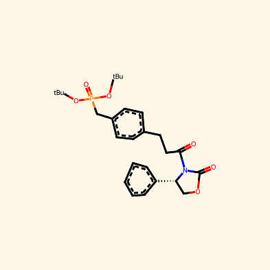 CC(C)(C)OP(=O)(Cc1ccc(CCC(=O)N2C(=O)OC[C@@H]2c2ccccc2)cc1)OC(C)(C)C